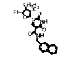 CC[C@H]1O[C@@H](n2cc(C(=O)NCc3ccc4ccccc4c3)c(=O)[nH]c2=O)[C@@H](C)C1C